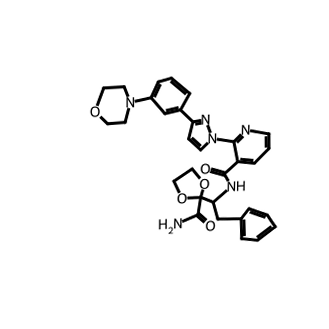 NC(=O)C1(C(Cc2ccccc2)NC(=O)c2cccnc2-n2ccc(-c3cccc(N4CCOCC4)c3)n2)OCCO1